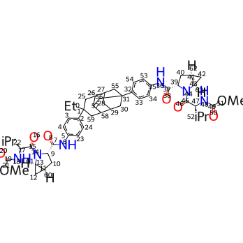 CCC1(c2ccc(NC(=O)[C@@H]3C[C@H]4C[C@H]4N3C(=O)[C@@H](NC(=O)OC)C(C)C)cc2)CC2C3CC4CC(c5ccc(NC(=O)[C@@H]6C[C@H]7C[C@H]7N6C(=O)[C@@H](NC(=O)OC)C(C)C)cc5)(C3)CC2C4C1